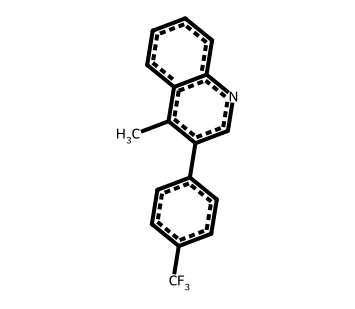 Cc1c(-c2ccc(C(F)(F)F)cc2)cnc2ccccc12